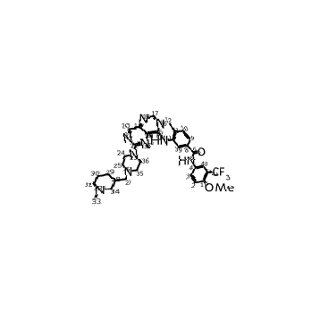 COc1ccc(NC(=O)c2ccc(C)c(Nc3ncnc4cnc(N5CCN(CC6CCCN(C)C6)CC5)nc34)c2)cc1C(F)(F)F